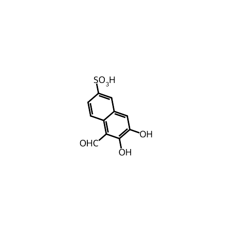 O=Cc1c(O)c(O)cc2cc(S(=O)(=O)O)ccc12